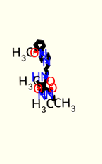 COc1ccccc1N1CCN(CCCNC(=O)c2c(C)oc3ncn(CC(C)C)c(=O)c23)CC1